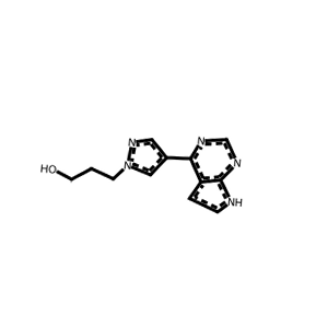 O[CH]CCn1cc(-c2ncnc3[nH]ccc23)cn1